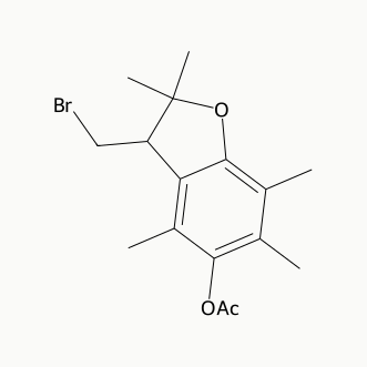 CC(=O)Oc1c(C)c(C)c2c(c1C)C(CBr)C(C)(C)O2